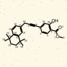 COC(=O)c1ccc(C#CCc2ccc3c(c2)C(C)(C)CCC3(C)C)cc1O